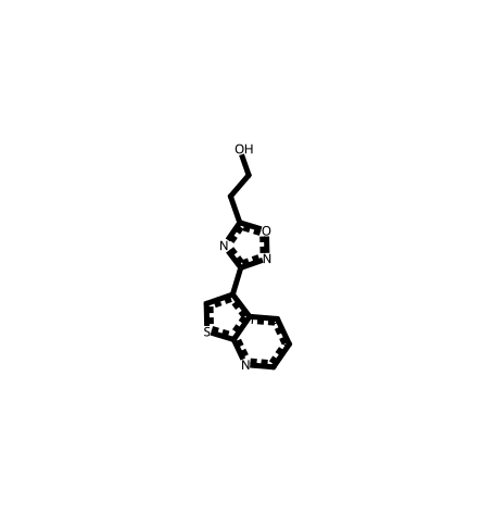 OCCc1nc(-c2csc3ncccc23)no1